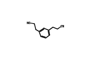 N#CCCc1[c]c(CCC#N)ccc1